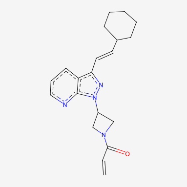 C=CC(=O)N1CC(n2nc(C=CC3CCCCC3)c3cccnc32)C1